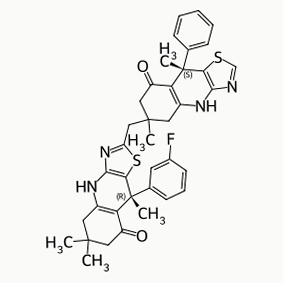 CC1(C)CC(=O)C2=C(C1)Nc1nc(CC3(C)CC(=O)C4=C(C3)Nc3ncsc3[C@@]4(C)c3ccccc3)sc1[C@]2(C)c1cccc(F)c1